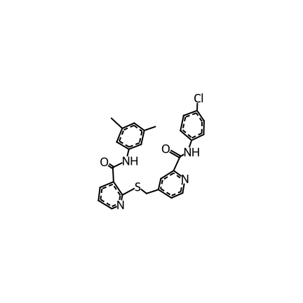 Cc1cc(C)cc(NC(=O)c2cccnc2SCc2ccnc(C(=O)Nc3ccc(Cl)cc3)c2)c1